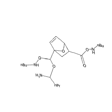 CCCCNOC(=O)C1CC2(C(ONCCCC)OC(N)CCC)C=CC1O2